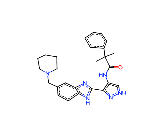 CC(C)(C(=O)Nc1c[nH]nc1-c1nc2cc(CN3CCCCC3)ccc2[nH]1)c1ccccc1